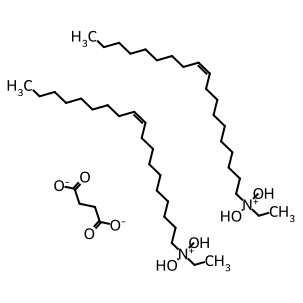 CCCCCCCC/C=C\CCCCCCCCC[N+](O)(O)CC.CCCCCCCC/C=C\CCCCCCCCC[N+](O)(O)CC.O=C([O-])CCC(=O)[O-]